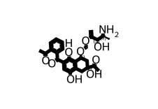 C=C(OCO[C@H]1C[C@](O)(C(C)=O)Cc2c(O)cc(C(=O)c3ccccc3C(C)=O)c(O)c21)[C@@H](O)[C@H](C)N